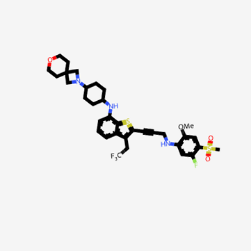 COc1cc(S(C)(=O)=O)c(F)cc1NCC#Cc1sc2c(NC3CCC(N4CC5(CCOCC5)C4)CC3)cccc2c1CC(F)(F)F